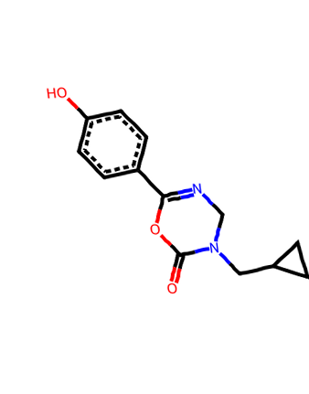 O=C1OC(c2ccc(O)cc2)=NCN1CC1CC1